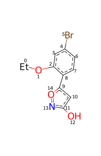 CCOc1cc(Br)ccc1-c1cc(O)no1